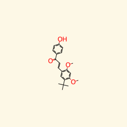 COc1cc(OC)c(C(C)(C)C)cc1C=CC(=O)c1ccc(O)cc1